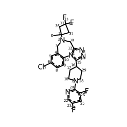 CC1(N2Cc3cc(Cl)ccc3-n3c(nnc3C3CCN(c4ncc(F)cc4F)CC3)C2)CC(F)(F)C1